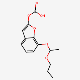 CCCOC(C)Oc1cccc2cc(OB(O)O)oc12